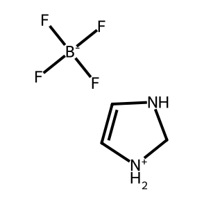 C1=C[NH2+]CN1.F[B-](F)(F)F